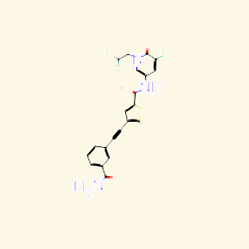 NC(=O)c1cccc(C#Cc2cc(C(=O)Nc3cc(F)c(=O)n(CC(F)F)c3)sc2Cl)c1